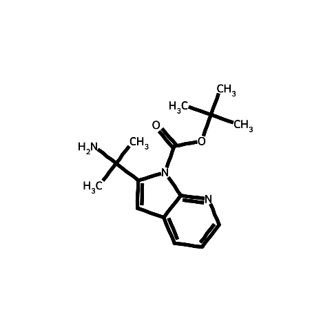 CC(C)(C)OC(=O)n1c(C(C)(C)N)cc2cccnc21